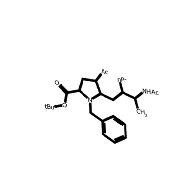 CCCC(CC1C(C(C)=O)CC(C(=O)OC(C)(C)C)N1Cc1ccccc1)C(C)NC(C)=O